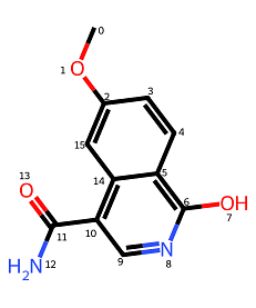 COc1ccc2c(O)ncc(C(N)=O)c2c1